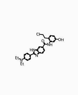 CCN(CC)c1ccc(-c2nc3ccc(C(=O)Nc4cc(O)ccc4CCCl)cc3[nH]2)cc1